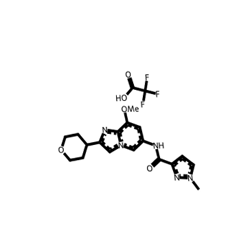 COc1cc(NC(=O)c2ccn(C)n2)cn2cc(C3CCOCC3)nc12.O=C(O)C(F)(F)F